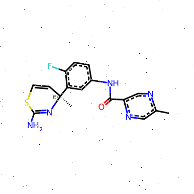 Cc1cnc(C(=O)Nc2ccc(F)c([C@]3(C)C=CSC(N)=N3)c2)cn1